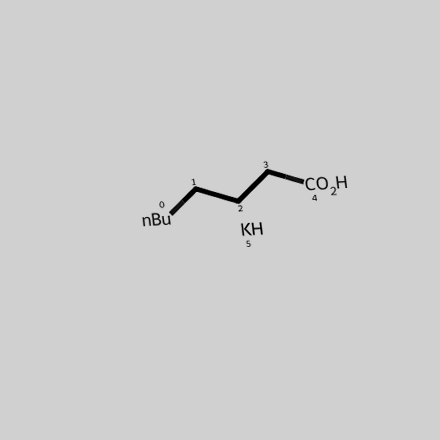 CCCCCCCC(=O)O.[KH]